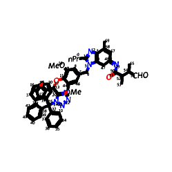 CCCc1nc2c(n1Cc1cc(OC)c(OC(c3ccccc3)c3nnnn3C(c3ccccc3)(c3ccccc3)c3ccccc3)c(OC)c1)CC(=NC(=O)C(C)C(C)C=O)C=C2C